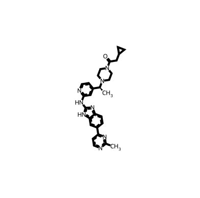 Cc1nccc(-c2ccc3nc(Nc4cc([C@H](C)N5CCN(C(=O)CC6CC6)CC5)ccn4)[nH]c3c2)n1